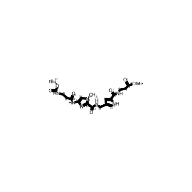 COC(=O)CCNC(=O)c1cc(CNC(=O)c2nc(NC(=O)CCNC(=O)OC(C)(C)C)cn2C)c[nH]1